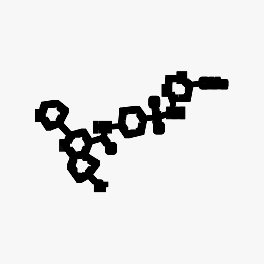 COc1cc(NS(=O)(=O)c2ccc(NC(=O)c3cc(-c4cccnc4)nc4ccc(Br)cc34)cc2)ncn1